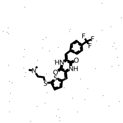 CN(C)CCSc1ccc(C=c2[nH]c(=O)c(=Cc3ccc(C(F)(F)F)cc3)[nH]c2=O)s1